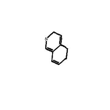 C1=CC2=C[N]CC=C2CC1